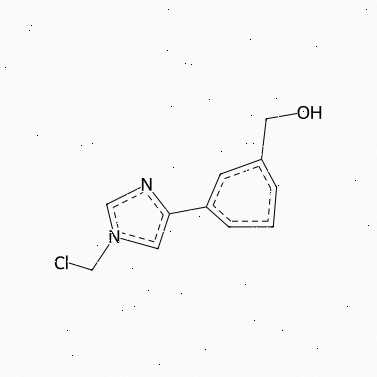 OCc1cccc(-c2cn(CCl)cn2)c1